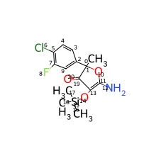 CC1(c2ccc(Cl)c(F)c2)OC(N)=C(O[Si](C)(C)C)C1=O